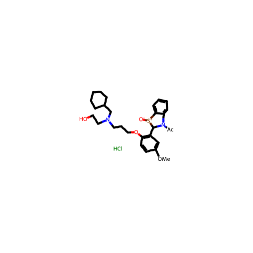 COc1ccc(OCCCN(CCO)CC2CCCCC2)c(C2N(C(C)=O)c3ccccc3[S+]2[O-])c1.Cl